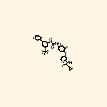 O=C(Nc1cc(-c2cccnc2)cc(C(F)(F)F)c1)Nc1ccc(Oc2ccnc(NC(=O)C3CC3)c2)c(F)c1